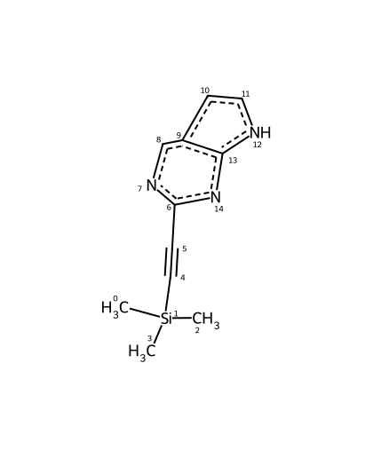 C[Si](C)(C)C#Cc1ncc2cc[nH]c2n1